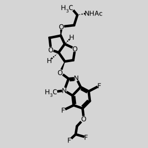 CC(=O)N[C@@H](C)CO[C@@H]1CO[C@H]2[C@@H]1OC[C@H]2Oc1nc2c(F)cc(OCC(F)F)c(F)c2n1C